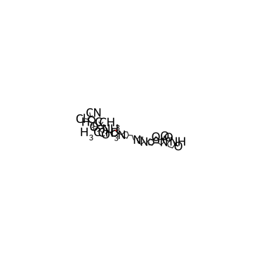 CC1(C)[C@H](NC(=O)c2ccc(N3CCC(CCN4CCN(c5ccc6c7c(oc6c5)C(=O)N(C5CCC(=O)NC5=O)C7)CC4)CC3)cc2)C(C)(C)[C@H]1Oc1ccc(C#N)c(Cl)c1